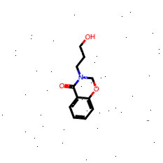 O=C1c2ccccc2OCN1CCCO